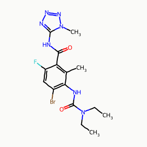 CCN(CC)C(=O)Nc1c(Br)cc(F)c(C(=O)Nc2nnnn2C)c1C